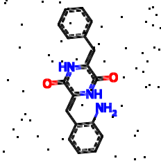 Nc1ccccc1C=c1[nH]c(=O)c(=Cc2ccccc2)[nH]c1=O